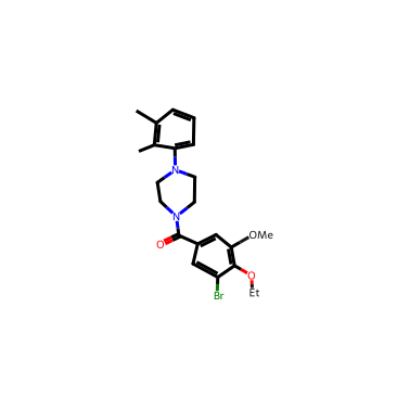 CCOc1c(Br)cc(C(=O)N2CCN(c3cccc(C)c3C)CC2)cc1OC